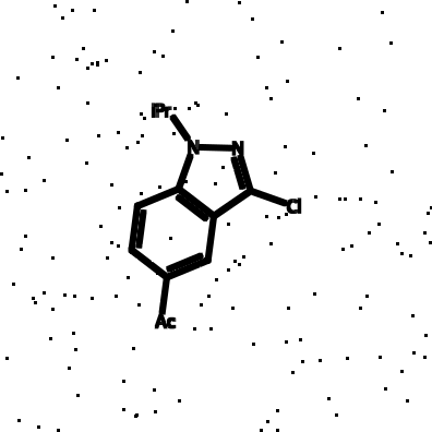 CC(=O)c1ccc2c(c1)c(Cl)nn2C(C)C